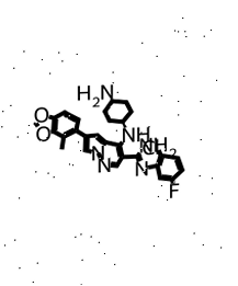 Cc1c(-c2cc3c(N[C@H]4CC[C@H](N)CC4)c(/C(N)=N/c4cc(F)ccc4Cl)cnn3c2)ccc2c1OCO2